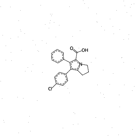 O=C(O)c1c(-c2ccccc2)c(-c2ccc(Cl)cc2)c2n1CCC2